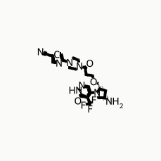 N#Cc1ccc(N2CCN(C(=O)CCOC[C@@H]3C[C@@H](N)CN3c3cn[nH]c(=O)c3C(F)(F)F)CC2)nc1